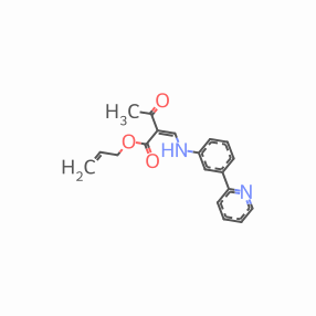 C=CCOC(=O)/C(=C\Nc1cccc(-c2ccccn2)c1)C(C)=O